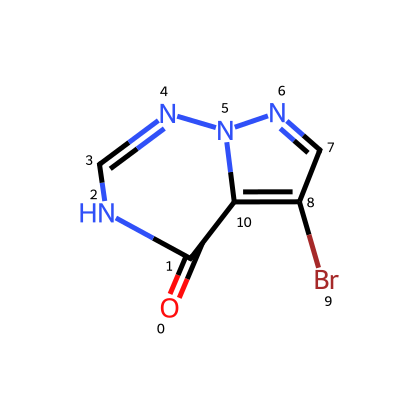 O=c1[nH]cnn2ncc(Br)c12